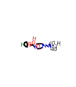 CC(C)(C)N(CCN1CC2CN(CC(O)COc3ccc(F)cc3)CC(C1)O2)C(=O)O